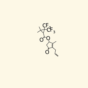 C=CCC1=C(C)C(OC(=O)C2C(C)(C)C2(C(F)(F)F)C(F)(F)F)CC1=O